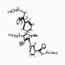 CCCCCCCCCCCC(=O)c1cccc(C2=CC(CCCCCC)=C(c3cccc(C(=O)CCCCCCCCCCC)c3)[N+]2=[N-])c1.[Ni]